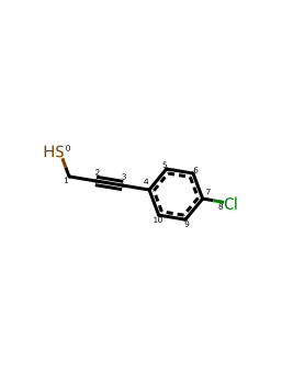 SCC#Cc1ccc(Cl)cc1